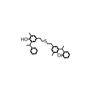 Cc1cc(CCSCCc2cc(C)c(O)c(C(C)c3ccccc3)c2)cc(C(C)c2ccccc2)c1O